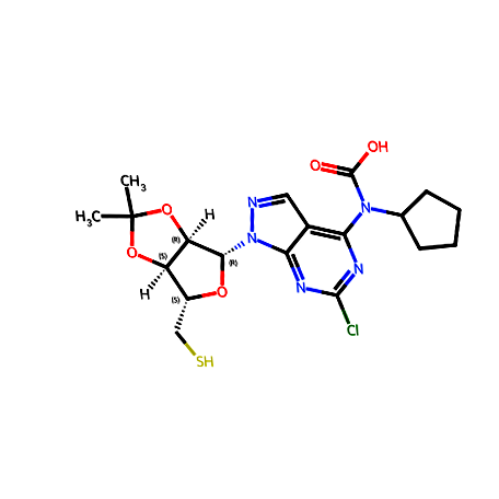 CC1(C)O[C@@H]2[C@H](O1)[C@@H](CS)O[C@H]2n1ncc2c(N(C(=O)O)C3CCCC3)nc(Cl)nc21